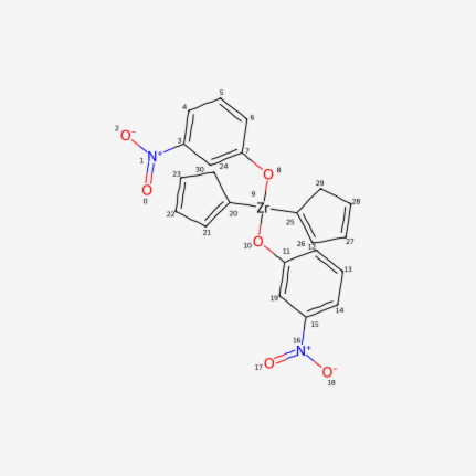 O=[N+]([O-])c1cccc([O][Zr]([O]c2cccc([N+](=O)[O-])c2)([C]2=CC=CC2)[C]2=CC=CC2)c1